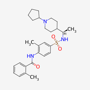 Cc1cc(S(=O)(=O)N[C@H](C)C2CCN(C3CCCC3)CC2)ccc1NC(=O)c1ccccc1C